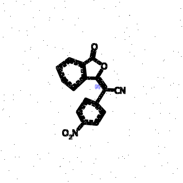 N#C/C(=C1\OC(=O)c2ccccc21)c1ccc([N+](=O)[O-])cc1